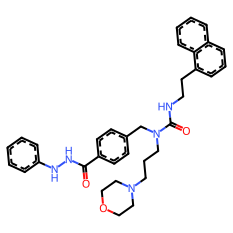 O=C(NNc1ccccc1)c1ccc(CN(CCCN2CCOCC2)C(=O)NCCc2cccc3ccccc23)cc1